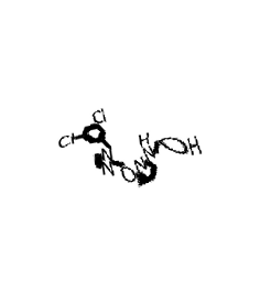 OCCNc1cccc(OCc2nccn2Cc2cc(Cl)cc(Cl)c2)n1